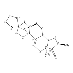 C[C@@H]1CC2C3CC[C@@]45CC6(CC[C@@]4(O5)C3=CC[C@]2(C)C1=O)OCCO6